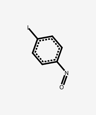 O=Nc1ccc(I)cc1